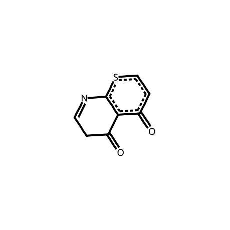 O=C1CC=Nc2sccc(=O)c21